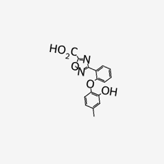 Cc1ccc(Oc2ccccc2-c2noc(C(=O)O)n2)c(O)c1